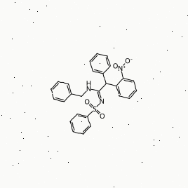 O=[N+]([O-])c1ccccc1C(C(=NS(=O)(=O)c1ccccc1)NCc1ccccc1)c1ccccc1